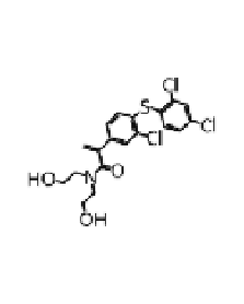 C=C(C(=O)N(CCO)CCO)c1ccc(Sc2ccc(Cl)cc2Cl)c(Cl)c1